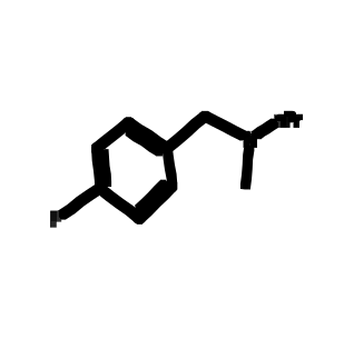 CCCN(C)Cc1ccc(F)cc1